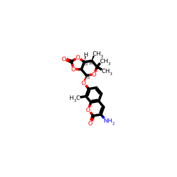 Cc1c(O[C@@H]2OC(C)(C)[C@H](C)[C@@H]3OC(=O)OC23)ccc2cc(N)c(=O)oc12